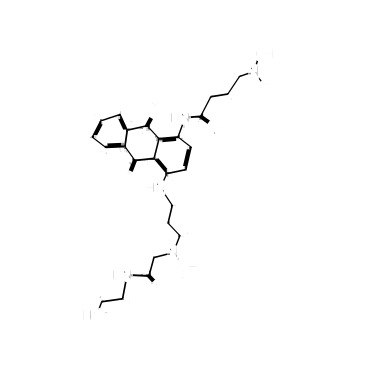 CN(C)CCCC(=O)Nc1ccc(NCCCN(C)CC(=O)NCCS)c2c1C(=O)c1ccccc1C2=O